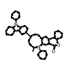 Cc1ccc(-c2ccc3c(c2)c2ccccc2n3-c2ccccc2)ccc2cc3c(cc2n1-c1ccccc1)c(=O)oc1ccccc13